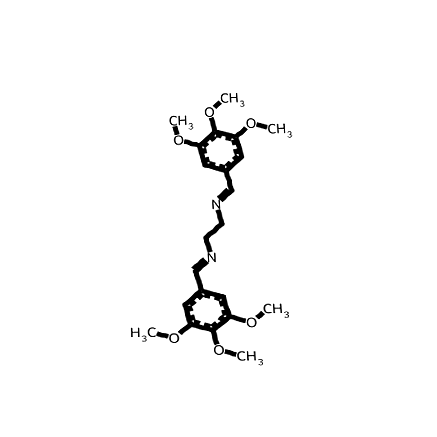 COc1cc(C=NCCN=Cc2cc(OC)c(OC)c(OC)c2)cc(OC)c1OC